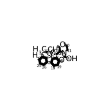 CC(C)(C)[Si](OCC1COCCN1C(=O)O)(c1ccccc1)c1ccccc1